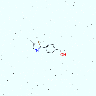 Cc1cnc(-c2ccc(CO)cc2)s1